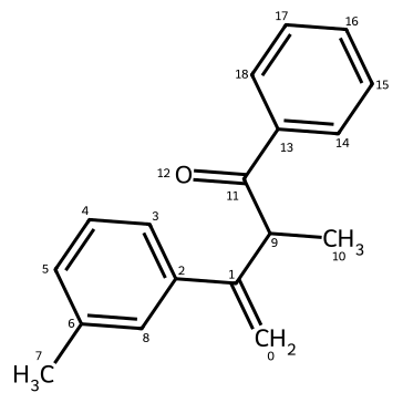 C=C(c1cccc(C)c1)C(C)C(=O)c1ccccc1